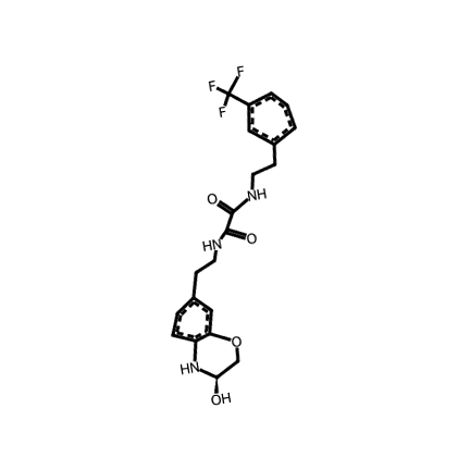 O=C(NCCc1cccc(C(F)(F)F)c1)C(=O)NCCc1ccc2c(c1)OC[C@@H](O)N2